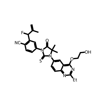 C=C(C)C(F)c1cc(N2C(=O)C(C)(C)N(c3ccc4nc(CC)nc(OCCO)c4c3)C2=S)ccc1C#N